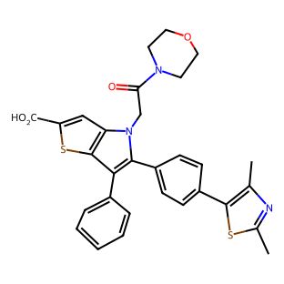 Cc1nc(C)c(-c2ccc(-c3c(-c4ccccc4)c4sc(C(=O)O)cc4n3CC(=O)N3CCOCC3)cc2)s1